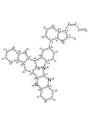 C=C/C=C\c1c(C)sc2c(-c3ccc4c(c3)c3c5sc6ccccc6c5cc5c6nc7ccccc7nc6n4c53)cccc12